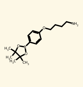 CC1(C)OB(c2ccc(OCCCCN)cc2)OC1(C)C